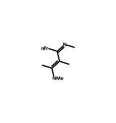 CCCC(=N/C)/C(C)=C(\C)NC